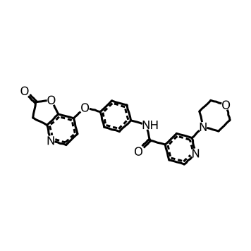 O=C1Cc2nccc(Oc3ccc(NC(=O)c4ccnc(N5CCOCC5)c4)cc3)c2O1